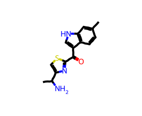 Cc1ccc2c(C(=O)c3nc(C(C)N)cs3)c[nH]c2c1